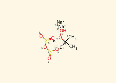 CC(C)(C)OO.O=S([O-])OS(=O)[O-].[Na+].[Na+]